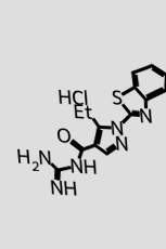 CCc1c(C(=O)NC(=N)N)cnn1-c1nc2ccccc2s1.Cl